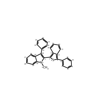 Cn1c(-c2sc(-c3ccccc3)c3ccccc23)c(-c2ccccc2)c2ccccc21